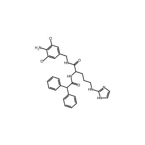 Nc1c(Cl)cc(CNC(=O)C(CCCNc2ncc[nH]2)NC(=O)C(c2ccccc2)c2ccccc2)cc1Cl